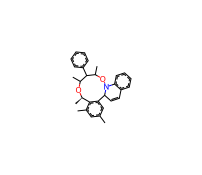 Cc1cc(C)c2c(c1)C1C=Cc3ccccc3N1OC(C)C(c1ccccc1)C(C)O[C@@H]2C